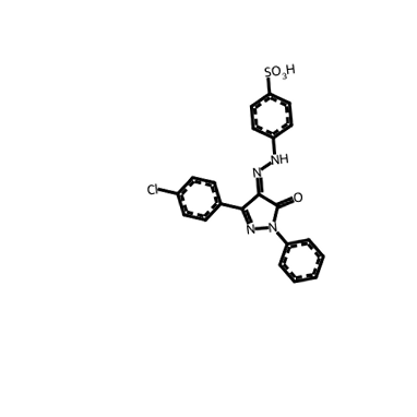 O=C1/C(=N\Nc2ccc(S(=O)(=O)O)cc2)C(c2ccc(Cl)cc2)=NN1c1ccccc1